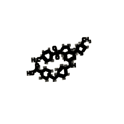 Cc1ccc(S(=O)(=O)n2ccc3c(-c4cc(C)cs4)nc(Nc4ccc(CN5CCN(C(=O)O)CC5)cc4)nc32)cc1